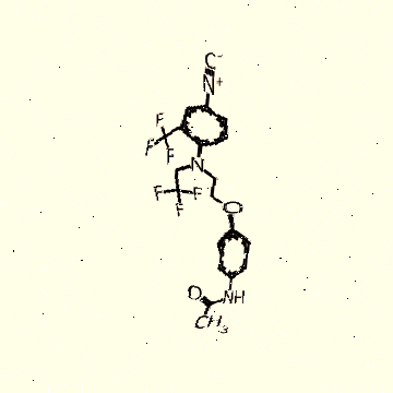 [C-]#[N+]c1ccc(N(CCOc2ccc(NC(C)=O)cc2)CC(F)(F)F)c(C(F)(F)F)c1